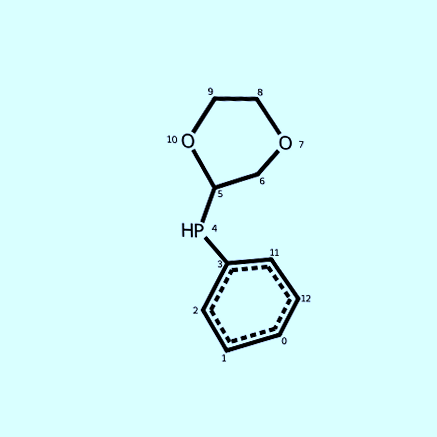 c1ccc(PC2COCCO2)cc1